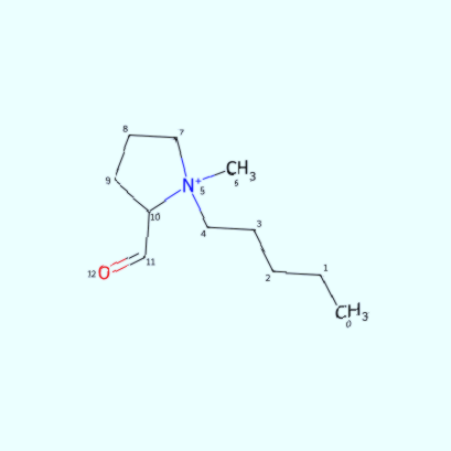 CCCCC[N+]1(C)CCCC1C=O